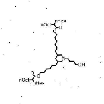 CCCCCCCCC(CCCCCC)C(=O)OCCCCCCC1CC(CCCCCCOC(=O)C(CCCCCC)CCCCCCCC)CN(CCCCO)C1